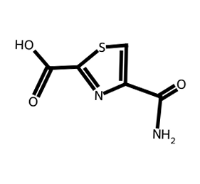 NC(=O)c1csc(C(=O)O)n1